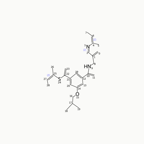 C=C(/C=N\C(C)=C/C)CNC(=C)c1cc(OCC(C)C)cc(C(=C)S/C(C)=C\C)c1